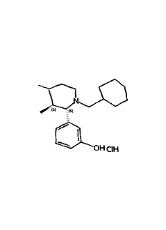 CC1CCN(CC2CCCCC2)[C@H](c2cccc(O)c2)[C@H]1C.Cl